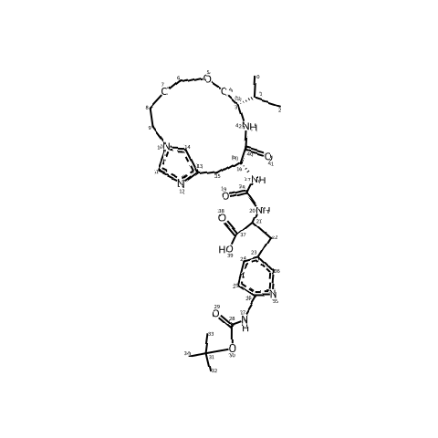 CC(C)[C@H]1COCCCCn2cnc(c2)C[C@@H](NC(=O)NC(Cc2ccc(NC(=O)OC(C)(C)C)nc2)C(=O)O)C(=O)N1